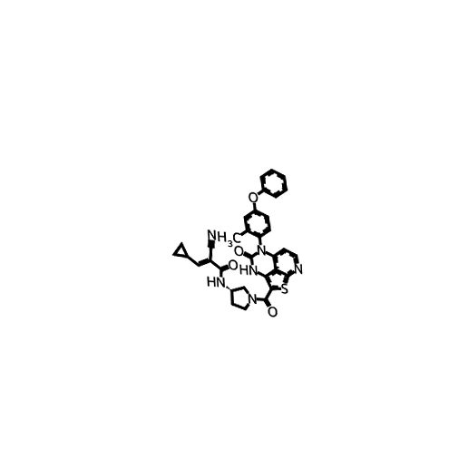 Cc1cc(Oc2ccccc2)ccc1N1C(=O)Nc2c(C(=O)N3CC[C@H](NC(=O)/C(C#N)=C/C4CC4)C3)sc3nccc1c23